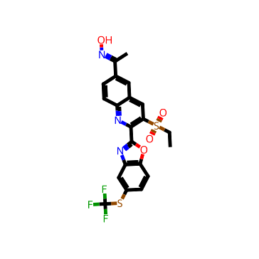 CCS(=O)(=O)c1cc2cc(C(C)=NO)ccc2nc1-c1nc2cc(SC(F)(F)F)ccc2o1